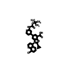 CC(C)(C)OC(=O)Nc1cc(-c2cc(C(=O)O)c3nc(C4CC4)n(-c4ccnc5c(Cl)cccc45)c3c2)ccn1